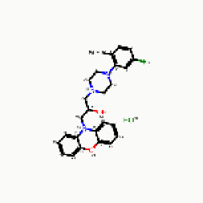 COc1ccc(F)cc1N1CCN(CC(O)CN2c3ccccc3Oc3ccccc32)CC1.Cl